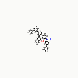 Oc1c(-c2cc(Nc3ccc(-c4ccccc4)cc3)ccc2-c2ccc(-c3cccc(-c4ccccc4)c3)cc2)ccc2ccccc12